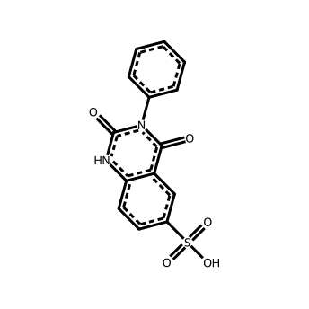 O=c1[nH]c2ccc(S(=O)(=O)O)cc2c(=O)n1-c1ccccc1